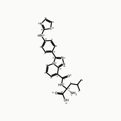 CC(C)C[C@](N)(NC(=O)c1cccn2c(-c3ccc(Nc4nccs4)cc3)nnc12)C(=O)O